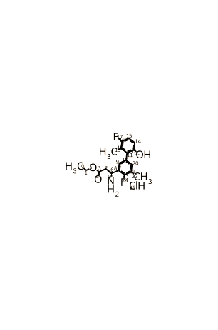 CCOC(=O)C[C@H](N)c1cc(-c2c(O)ccc(F)c2C)cc(C)c1F.Cl